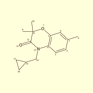 Cc1ccc2c(c1)OC(C)(C)C(=O)N2CC1CC1